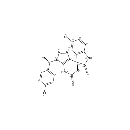 C[C@H](c1ccc(Cl)cc1)n1nnc2c1NC(=O)C[C@@]21C(=O)Nc2ccc(Cl)cc21